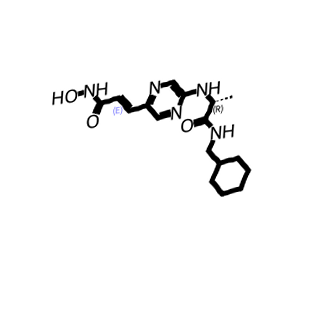 C[C@@H](Nc1cnc(/C=C/C(=O)NO)cn1)C(=O)NCC1CCCCC1